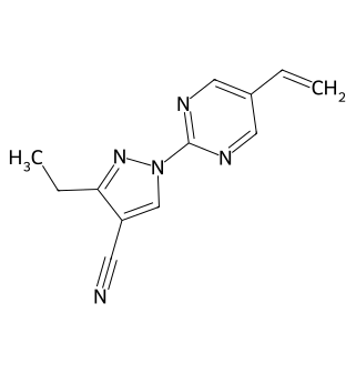 C=Cc1cnc(-n2cc(C#N)c(CC)n2)nc1